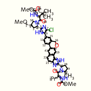 COC[C@H]1C[C@@H](c2nc(Cl)c(-c3ccc4c(c3)COc3cc5c(ccc6nc([C@@H]7CC[C@H](C)N7C(=O)[C@@H](NC(=O)OC)C(C)C)[nH]c65)cc3-4)[nH]2)N(C(=O)[C@@H](NC(=O)OC)C(C)(C)C(F)(F)F)C1